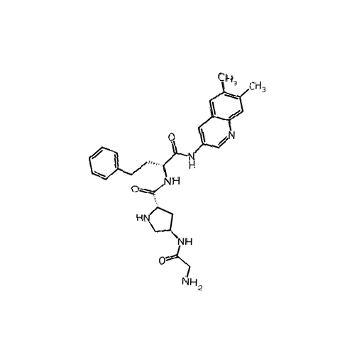 Cc1cc2cc(NC(=O)[C@@H](CCc3ccccc3)NC(=O)[C@@H]3C[C@@H](NC(=O)CN)CN3)cnc2cc1C